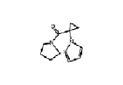 O=C(N1CCCC1)C1(n2c[c]cn2)CC1